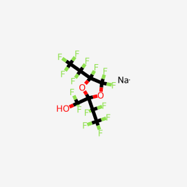 OC(F)(F)C1(C(F)(F)C(F)(F)F)OC(F)(F)C(F)(C(F)(F)C(F)(F)F)O1.[Na]